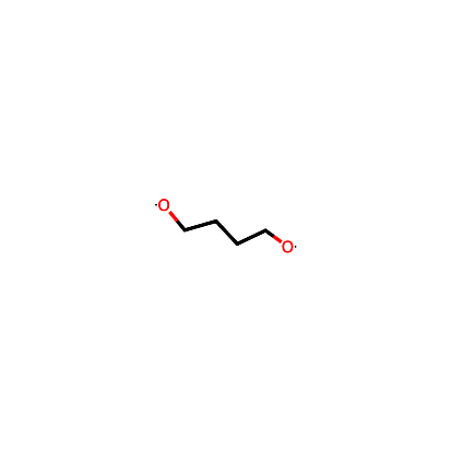 [O]CCCC[O]